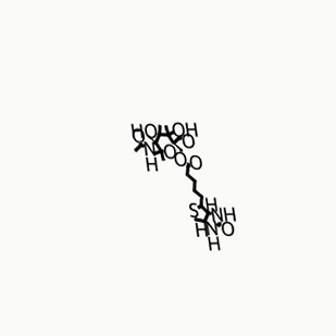 CC(=O)N[C@@]1(C)C(C)(C)O[C@@](COC(=O)CCCCC2SC[C@@H]3NC(=O)N[C@H]23)(C(=O)O)C(C)(C)C1(C)O